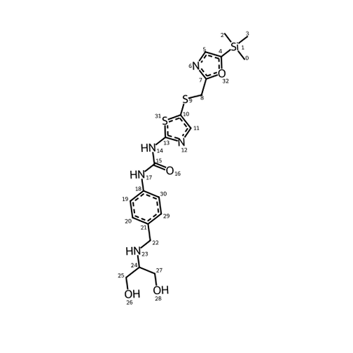 C[Si](C)(C)c1cnc(CSc2cnc(NC(=O)Nc3ccc(CNC(CO)CO)cc3)s2)o1